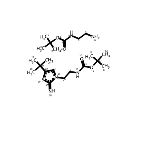 CC(C)(C)OC(=O)NCCN.CC(C)(C)OC(=O)NCCn1cc(C(C)(C)C)sc1=N